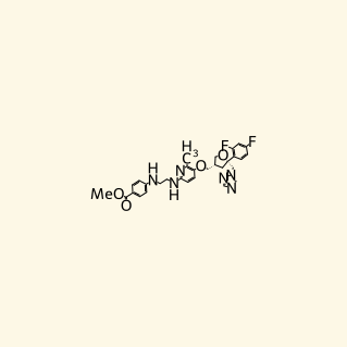 COC(=O)c1ccc(NCCNc2ccc(OC[C@@H]3CO[C@@](Cn4cncn4)(c4ccc(F)cc4F)C3)c(C)n2)cc1